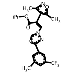 Cc1cc(-c2ncn(/C=C(\C(=O)OC(C)C)c3c(C)noc3C)n2)cc(C(F)(F)F)c1